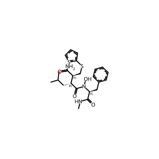 CNC(=O)[C@H](Cc1ccccc1)N(O)C(=O)[C@H](CC(C)C)[C@H](CSc1cccs1)C(N)=O